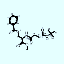 COC(=O)C(CSC(=O)c1ccccc1)NC(=O)CNC(=O)OC(C)(C)C